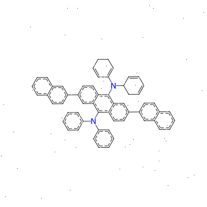 C1=CCC(N(C2=CCCC=C2)c2c3ccc(-c4ccc5ccccc5c4)cc3c(N(c3ccccc3)c3ccccc3)c3ccc(-c4ccc5ccccc5c4)cc23)C=C1